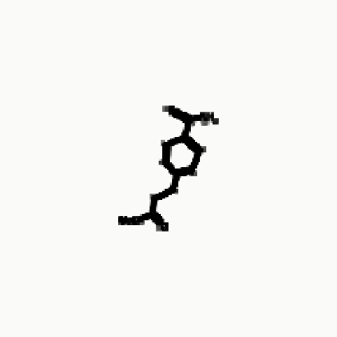 COC(=O)CCc1ccc(C(N)=S)cc1